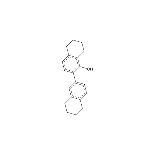 Oc1c(-c2ccc3c(c2)CCCC3)ccc2c1CCCC2